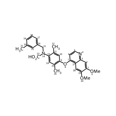 COc1cc2nccc(Oc3cc(C)c(N(Cc4cccc(C)c4)C(=O)O)cc3C)c2cc1OC